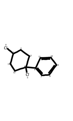 ClC1CCC(Cl)(c2ccccc2)CC1